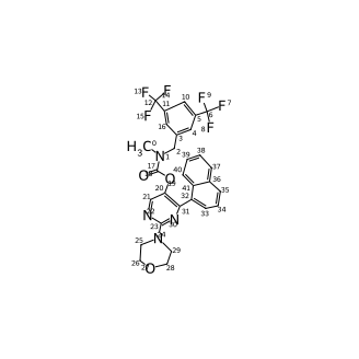 CN(Cc1cc(C(F)(F)F)cc(C(F)(F)F)c1)C(=O)Oc1cnc(N2CCOCC2)nc1-c1cccc2ccccc12